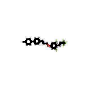 CC1CCC(c2ccc(/C=C/COc3cc(F)c(/C=C/C(F)(F)F)c(F)c3)cc2)CC1